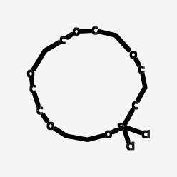 Cl[Si]1(Cl)CCCOCCOCCOCCOCCO1